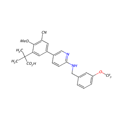 COc1c(C#N)cc(-c2ccc(NCc3cccc(OC(F)(F)F)c3)nc2)cc1C(C)(C)C(=O)O